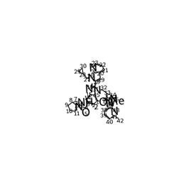 COc1cc(C(=O)N2CC3CCC2C3N)cc2nc(-c3cc4cccnc4n3CC3CC3)n(Cc3cnn(-c4cccc(C)n4)c3)c12